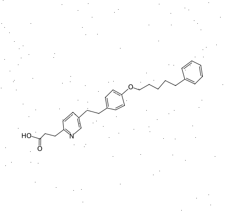 O=C(O)CCc1ccc(CCc2ccc(OCCCCCc3ccccc3)cc2)cn1